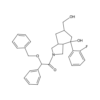 O=C(C(OCc1ccccc1)c1ccccc1)N1CC2CC(CO)CC(O)(c3ccccc3F)C2C1